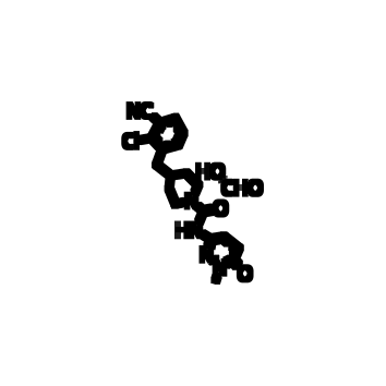 Cn1nc(NC(=O)N2CCC(Cc3cccc(C#N)c3Cl)CC2)ccc1=O.O=CO